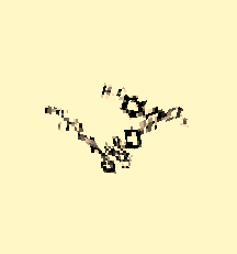 Cc1ccc(-c2cc(C(F)(F)F)nn2-c2ccc(S(=O)(=O)NC(=O)[C@@H]3CCCN3[N+]([O-])=NOCOC(=O)OC(C)C)cc2)cc1